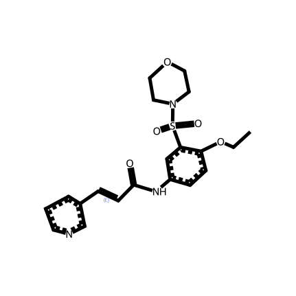 CCOc1ccc(NC(=O)/C=C/c2cccnc2)cc1S(=O)(=O)N1CCOCC1